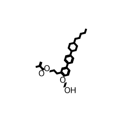 C=C(C)C(=O)OCCCc1cc(-c2ccc(C3CCC(CCCCC)CC3)cc2)ccc1OCCO